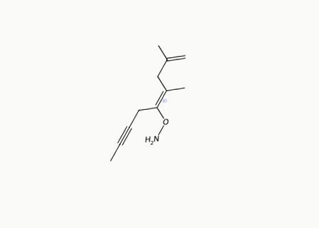 C=C(C)C/C(C)=C(\CC#CC)ON